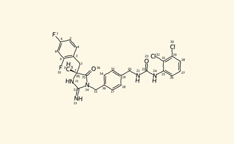 C[C@]1(Cc2ccc(F)cc2F)NC(=N)N(Cc2ccc(CNC(=O)Nc3cccc(Cl)c3Cl)cc2)C1=O